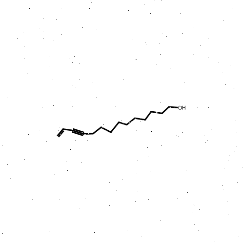 C=CC#CCCCCCCCCCCO